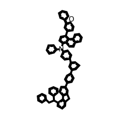 c1ccc(CC(c2ccccc2)c2cccc3c2-c2ccc(-c4ccc(-c5cccc(-c6ccc(N(c7ccccc7)c7ccc(-c8ccc9oc%10ccccc%10c9c8)c8c7ccc7ccccc78)cc6)c5)cc4)cc2C3)cc1